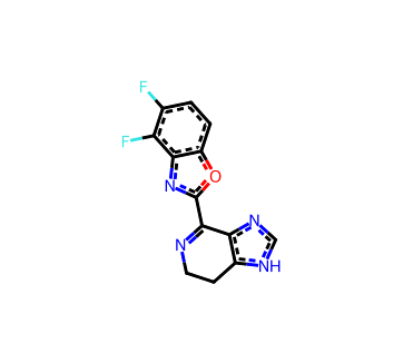 Fc1ccc2oc(C3=NCCc4[nH]cnc43)nc2c1F